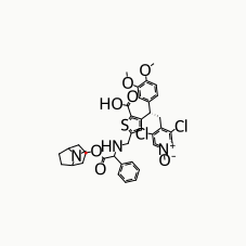 COc1ccc([C@H](Cc2c(Cl)c[n+]([O-])cc2Cl)c2cc(CNC(C(=O)OC3CC4CCC(C3)N4C)c3ccccc3)sc2C(=O)O)cc1OC